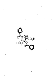 O=C(OOC(OC(=O)c1ccccc1)(C(=O)O)C(O)C(=O)O)c1ccccc1